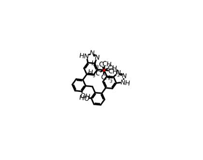 CC(C)(C)c1cc(-c2cccc(O)c2Cc2c(O)cccc2-c2cc(C(C)(C)C)c3nn[nH]c3c2)cc2[nH]nnc12